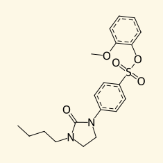 CCCCN1CCN(c2ccc(S(=O)(=O)Oc3ccccc3OC)cc2)C1=O